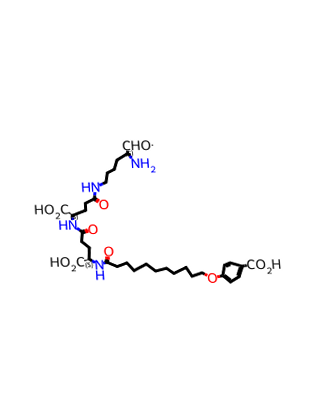 N[C@H]([C]=O)CCCCNC(=O)CC[C@H](NC(=O)CC[C@H](NC(=O)CCCCCCCCCCOc1ccc(C(=O)O)cc1)C(=O)O)C(=O)O